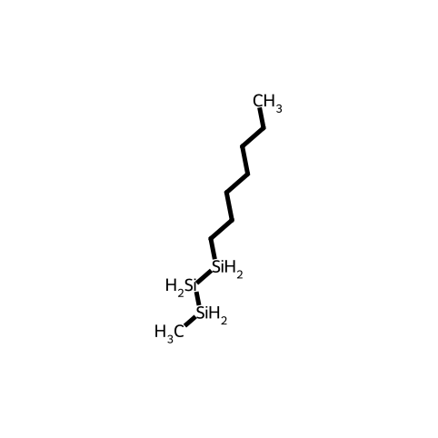 CCCCCCC[SiH2][SiH2][SiH2]C